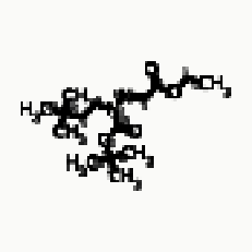 CCOC(=O)/C=N/N(CCC(C)(C)C)C(=O)OC(C)(C)C